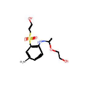 CC(Nc1ccc([N+](=O)[O-])cc1S(=O)(=O)CCO)OCCO